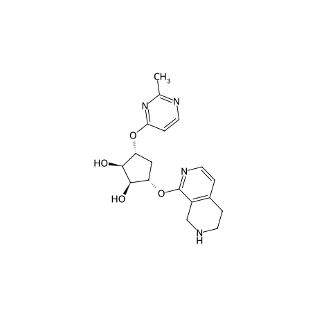 Cc1nccc(O[C@@H]2C[C@H](Oc3nccc4c3CNCC4)[C@@H](O)[C@H]2O)n1